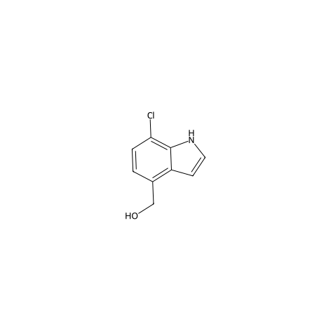 OCc1ccc(Cl)c2[nH]ccc12